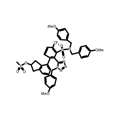 COc1ccc(CN(Cc2ccc(OC)cc2)S(=O)(=O)c2c(C(F)(F)F)ccc(-c3cccc4c3CC(OS(C)(=O)=O)C4)c2-c2nnnn2Cc2ccc(OC)cc2)cc1